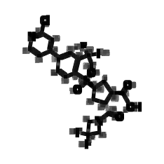 O=C(O)[C@@H]1C[C@H](S(=O)(=O)c2ccc(-c3ccnc(Cl)c3)cc2C(F)(F)F)C[C@H]1C(=O)N1CC(F)(F)C1